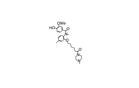 COc1cc(C(=O)N(C)c2ccc(C)cc2OCCCCCC(=O)N2CCN(C)CC2)ccc1O